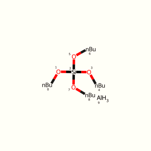 CCCCO[Si](OCCCC)(OCCCC)OCCCC.[AlH3]